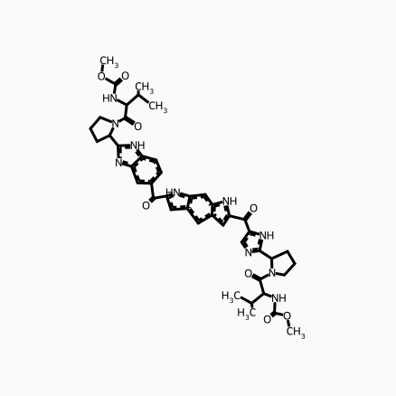 COC(=O)NC(C(=O)N1CCCC1c1ncc(C(=O)c2cc3cc4cc(C(=O)c5ccc6[nH]c(C7CCCN7C(=O)C(NC(=O)OC)C(C)C)nc6c5)[nH]c4cc3[nH]2)[nH]1)C(C)C